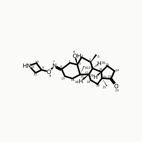 C[C@@H]1C[C@@]2(O)C/C(=N/OC3CNC3)CC[C@]2(C)[C@H]2CC[C@]3(C)C(=O)CC[C@H]3[C@H]12